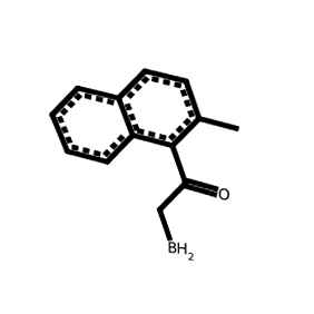 BCC(=O)c1c(C)ccc2ccccc12